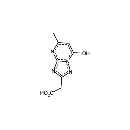 Cc1cc(O)n2nc(CC(=O)O)nc2n1